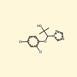 CC(C)(O)C(Oc1ccc(Cl)cc1Cl)n1cncn1